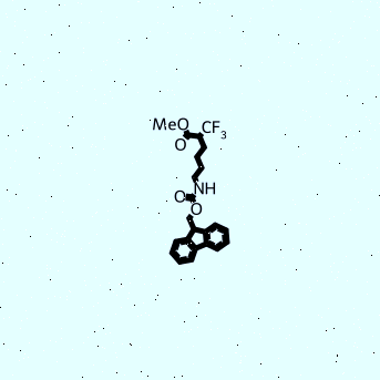 COC(=O)C(CCCCNC(=O)OCC1c2ccccc2-c2ccccc21)C(F)(F)F